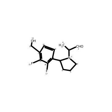 CC(C=O)N1CCCC1c1ccc(CO)c(F)c1F